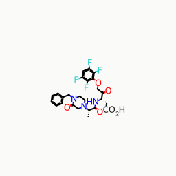 C[C@@H](C(=O)N[C@@H](CC(=O)O)C(=O)COc1c(F)c(F)cc(F)c1F)N1CCN(Cc2ccccc2)C(=O)C1